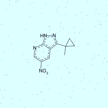 CC1(c2n[nH]c3ncc([N+](=O)[O-])cc23)CC1